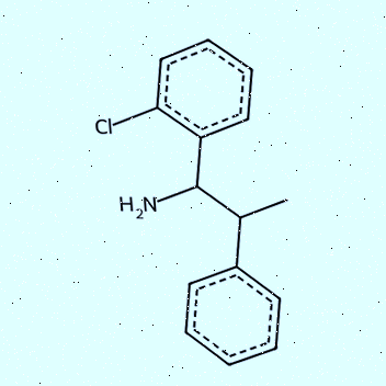 CC(c1ccccc1)C(N)c1ccccc1Cl